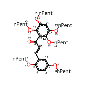 CCCCCOc1ccc(OCCCCC)c(C=CC(=O)c2c(OCCCCC)c(OCCCCC)cc(OCCCCC)c2OCCCCC)c1